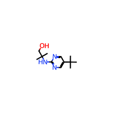 CC(C)(CO)Nc1ncc(C(C)(C)C)cn1